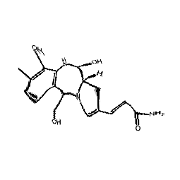 Cc1ccc2c(c1O)N[C@@H](O)[C@@H]1CC(/C=C/C(N)=O)=CN1C2O